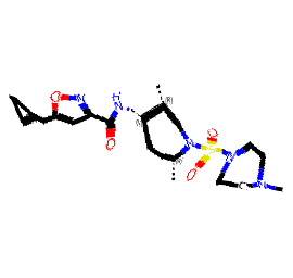 C[C@@H]1CN(S(=O)(=O)N2CCN(C)CC2)[C@H](C)C[C@@H]1NC(=O)c1cc(C2CC2)on1